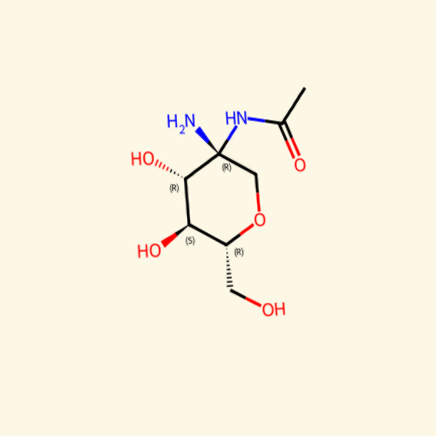 CC(=O)N[C@]1(N)CO[C@H](CO)[C@@H](O)[C@@H]1O